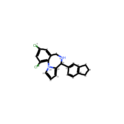 Clc1cc(Cl)c2c(c1)CNC(c1ccc3c(c1)CCC3)c1cccn1-2